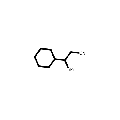 CCCC(CC#N)C1CCCCC1